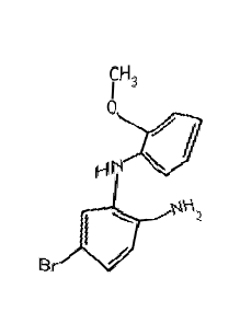 COc1ccccc1Nc1cc(Br)ccc1N